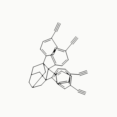 C#Cc1ccc(C23CC4CC(C2)CC(c2ccc(C#C)cc2)(C4)C3(c2ccc(C#C)cc2)c2ccc(C#C)cc2)cc1